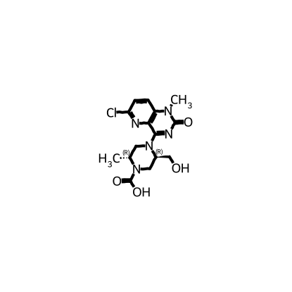 C[C@@H]1CN(c2nc(=O)n(C)c3ccc(Cl)nc23)[C@@H](CO)CN1C(=O)O